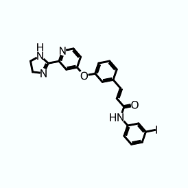 O=C(C=Cc1cccc(Oc2ccnc(C3=NCCN3)c2)c1)Nc1cccc(I)c1